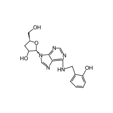 OC[C@@H]1CC(O)[C@H](n2cnc3c(NCc4ccccc4O)ncnc32)O1